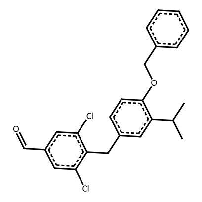 CC(C)c1cc(Cc2c(Cl)cc(C=O)cc2Cl)ccc1OCc1ccccc1